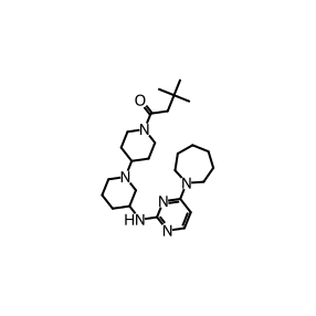 CC(C)(C)CC(=O)N1CCC(N2CCCC(Nc3nccc(N4CCCCCC4)n3)C2)CC1